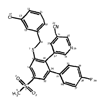 CS(=O)(=O)c1cc(SCc2cccc(Cl)c2)c(-c2cncc(C#N)c2)c(-c2ccc(F)cc2)c1